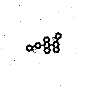 c1ccc2c(-c3c4ccccc4c(-c4ccc5c(c4)oc4ccccc45)c4ccccc34)c3sc4ccccc4c3cc2c1